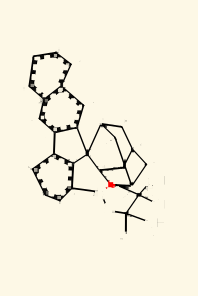 CC1(C)OB(c2cccc3c2C2(c4cc5ccccc5cc4-3)C3CC4CC(C3)CC2C4)OC1(C)C